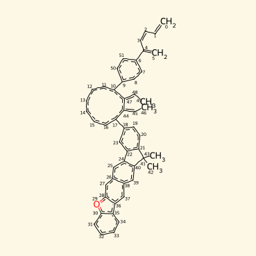 C=C/C=C\C(=C)c1ccc(-c2ccccccc(-c3ccc4c(c3)-c3cc5cc6oc7ccccc7c6cc5cc3C4(C)C)c(=C/C)/c2=C\C)cc1